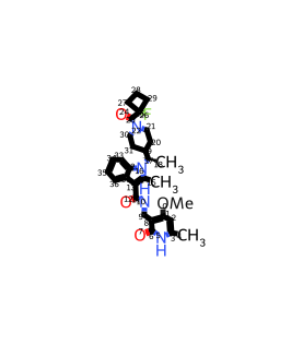 COc1cc(C)[nH]c(=O)c1CNC(=O)c1c(C)n([C@H](C)C2CCN(C(=O)C3(F)CCC3)CC2)c2ccccc12